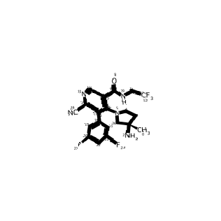 C[C@]1(N)CCN(c2c(C(=O)NCC(F)(F)F)cnc(C#N)c2-c2cc(F)cc(F)c2)C1